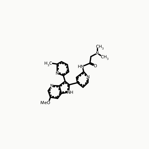 COc1cnc2c(-c3cccc(C)n3)c(-c3ccnc(NC(=O)CN(C)C)c3)[nH]c2c1